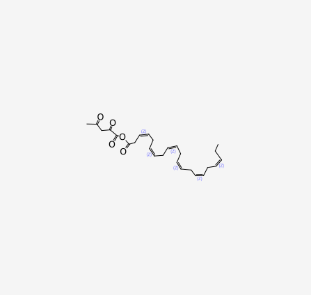 CC/C=C\C/C=C\C/C=C\C/C=C\C/C=C\C/C=C\CC(=O)OC(=O)C(=O)CC(C)=O